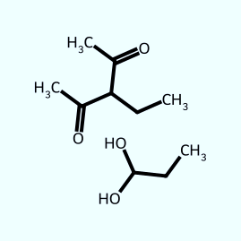 CCC(C(C)=O)C(C)=O.CCC(O)O